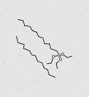 CCCCCCCCCCCC[Si](OCC)(OCC)OCC.[CH2]CCCCCCCCCCCC